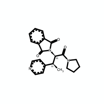 C[C@@H](c1ccncc1)[C@H](C(=O)N1CCCC1)N1C(=O)c2ccccc2C1=O